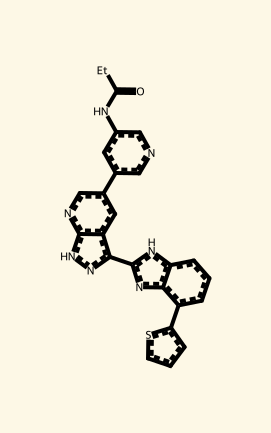 CCC(=O)Nc1cncc(-c2cnc3[nH]nc(-c4nc5c(-c6cccs6)cccc5[nH]4)c3c2)c1